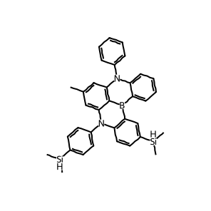 Cc1cc2c3c(c1)N(c1ccc([SiH](C)C)cc1)c1ccc([SiH](C)C)cc1B3c1ccccc1N2c1ccccc1